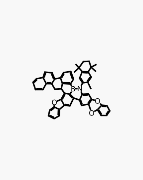 Cc1cc2c(cc1N1B3c4cccc5c4C(Cc4c-5ccc5ccccc45)c4c3c(cc3c4oc4ccccc43)-c3cc4c(cc31)Oc1ccccc1O4)C(C)(C)CCC2(C)C